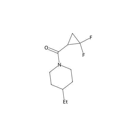 CCC1CCN(C(=O)C2CC2(F)F)CC1